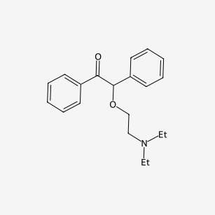 CCN(CC)CCOC(C(=O)c1ccccc1)c1ccccc1